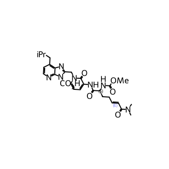 COC(=O)N[C@@H](CC/C=C/C(=O)N(C)C)C(=O)Nc1cccn(Cc2nc3c(CC(C)C)ccnc3n2C(=O)O)c1=O